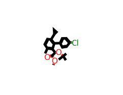 COC(=O)C(OC(C)(C)C)c1c(C)ccc(C2CC2)c1-c1ccc(Cl)cc1